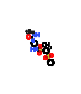 Cc1ccc(S(=O)(=O)c2ccccc2)cc1S(=O)(=O)NC1CCN(C(=O)NC(C)(C)C)CC1